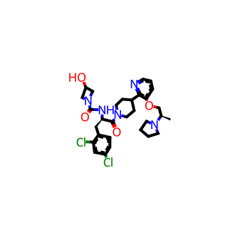 C[C@H](COc1cccnc1C1CCN(C(=O)[C@@H](Cc2ccc(Cl)cc2Cl)NC(=O)N2CC(O)C2)CC1)N1CCCC1